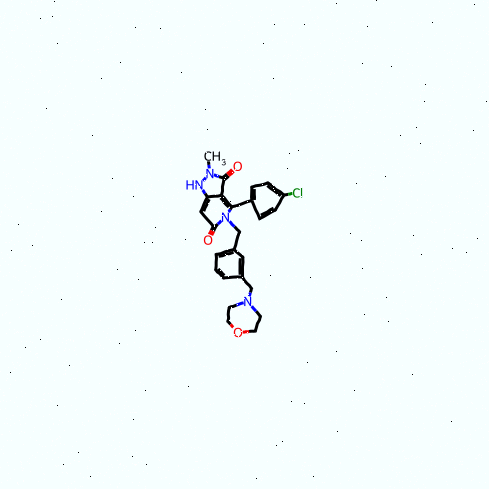 Cn1[nH]c2cc(=O)n(Cc3cccc(CN4CCOCC4)c3)c(-c3ccc(Cl)cc3)c2c1=O